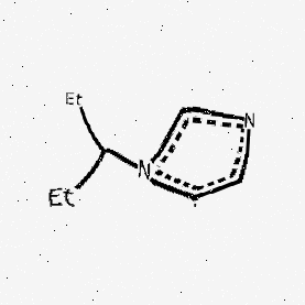 CCC(CC)n1[c]cnc1